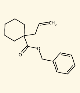 C=CCC1(C(=O)OCc2ccccc2)CCCCC1